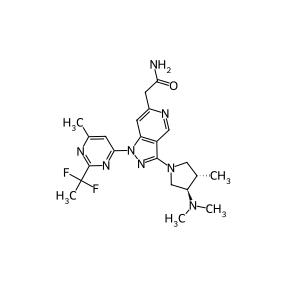 Cc1cc(-n2nc(N3C[C@H](C)[C@@H](N(C)C)C3)c3cnc(CC(N)=O)cc32)nc(C(C)(F)F)n1